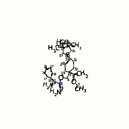 C=C(OCC)C1(CO/C(=C/N)N(N)c2ccccc2)CC=C(B2CC(C)(C)C(C)(C)C2)CC1